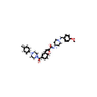 COc1ccc(CN2CCC(NC(=O)c3cc4cc(C(=O)N5CCN(c6ccc(C)cc6)CC5)ccc4o3)CC2)cc1